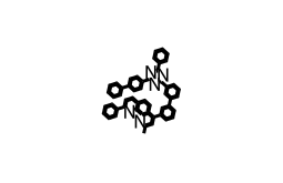 Cc1cc(-c2cccc(-c3cccc(-c4nc(-c5ccccc5)nc(-c5ccc(-c6ccccc6)cc5)n4)c3)c2)c2ccc3ccc(-c4ccccc4)nc3c2n1